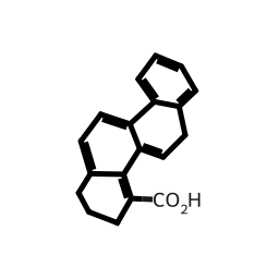 O=C(O)C1=c2c(ccc3c2=CCc2ccccc2-3)CCC1